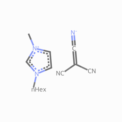 CCCCCCn1cc[n+](C)c1.N#CC(=C=[N-])C#N